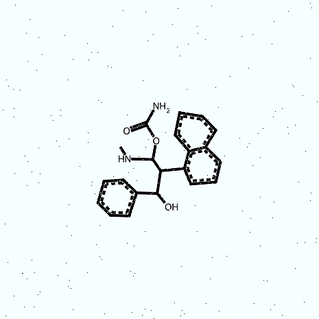 CNC(OC(N)=O)C(c1cccc2ccccc12)C(O)c1ccccc1